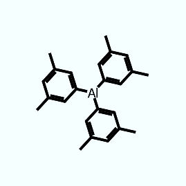 Cc1cc(C)c[c]([Al]([c]2cc(C)cc(C)c2)[c]2cc(C)cc(C)c2)c1